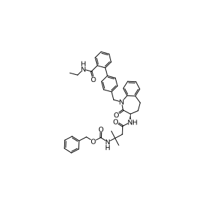 CCNC(=O)c1ccccc1-c1ccc(CN2C(=O)[C@H](NC(=O)CC(C)(C)NC(=O)OCc3ccccc3)CCc3ccccc32)cc1